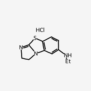 CCNc1ccc2c(c1)N1CCN=C1S2.Cl